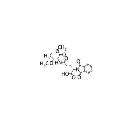 COC(=O)[C@@H](NC(=O)CC[C@@H](C(=O)O)N1C(=O)c2ccccc2C1=O)C(C)OC